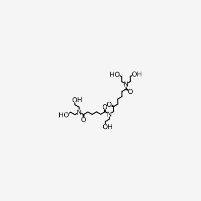 O=C(CCCCC(=O)N(CCO)CCO)CN(CCO)C(=O)CCCCC(=O)N(CCO)CCO